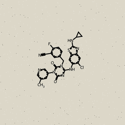 Cc1cncc(-n2c(=O)nc(Nc3cc4sc(NC5CC5)nc4cc3Cl)n(Cc3ccc(F)c(C#N)c3)c2=O)c1